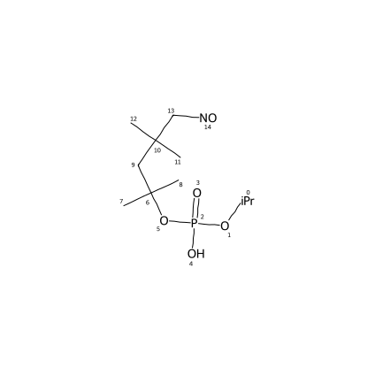 CC(C)OP(=O)(O)OC(C)(C)CC(C)(C)CN=O